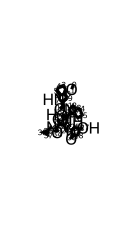 COc1cccc2[nH]c(C(=O)N3CC4CCCC4C3C(=O)NC(CN3CC(O)CC3=O)C(=O)C(=O)NC3CC3)cc12